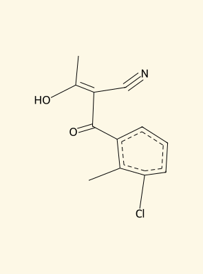 C/C(O)=C(\C#N)C(=O)c1cccc(Cl)c1C